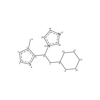 Cc1ccsc1C(CC1CCCCC1)n1ccnc1